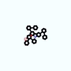 c1ccc(-c2ccccc2-c2ccc3c(c2)c2cc(-c4ccccc4-c4ccccc4)ccc2n3-c2ccccc2-c2cccc3oc4ccccc4c23)cc1